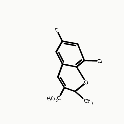 O=C(O)C1=Cc2cc(F)cc(Cl)c2OC1C(F)(F)F